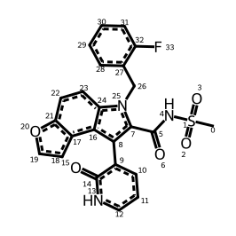 CS(=O)(=O)NC(=O)c1c(-c2ccc[nH]c2=O)c2c3ccoc3ccc2n1Cc1ccccc1F